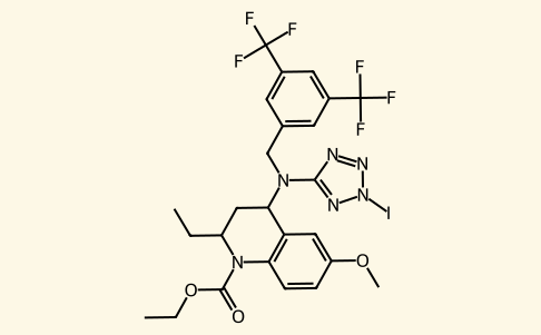 CCOC(=O)N1c2ccc(OC)cc2C(N(Cc2cc(C(F)(F)F)cc(C(F)(F)F)c2)c2nnn(I)n2)CC1CC